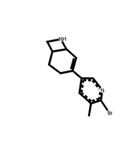 Cc1cc(C2=CC3NCC3CC2)cnc1Br